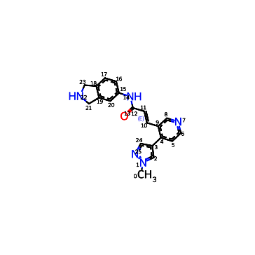 Cn1cc(-c2ccncc2/C=C/C(=O)Nc2ccc3c(c2)CNC3)cn1